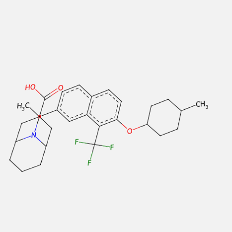 CC1CCC(Oc2ccc3ccc(C(C)N4C5CCCC4CC(C(=O)O)C5)cc3c2C(F)(F)F)CC1